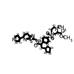 COC(=O)C1CN(S(=O)(=O)c2ccc(C(CC3CCCC3)C(=O)Nc3nc4ccc(-c5ccncc5)nc4s3)cc2)CCN1C